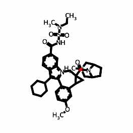 CCN(C)S(=O)(=O)NC(=O)c1ccc2c(C3CCCCC3)c3n(c2c1)CC1(C(=O)N2C4CCC2CN(C)C4)CC1c1cc(OC)ccc1-3